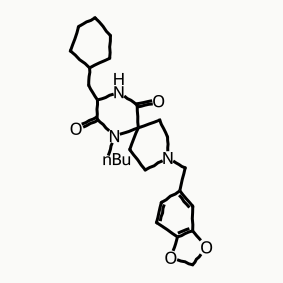 CCCCN1C(=O)C(CC2CCCCC2)NC(=O)C12CCN(Cc1ccc3c(c1)OCO3)CC2